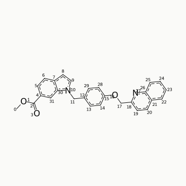 COC(=O)c1ccc2ccn(Cc3ccc(OCc4ccc5ccccc5n4)cc3)c2c1